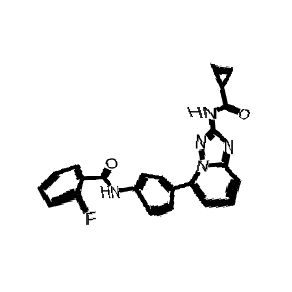 O=C(Nc1ccc(-c2cccc3nc(NC(=O)C4CC4)nn23)cc1)c1ccccc1F